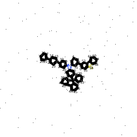 C1=C(c2cccc(N(c3ccc(-c4ccc(-c5ccccc5)cc4)cc3)c3ccc(C4(c5ccccc5)c5ccccc5-c5ccccc54)cc3)c2)CC2C(=C1)Sc1ccccc12